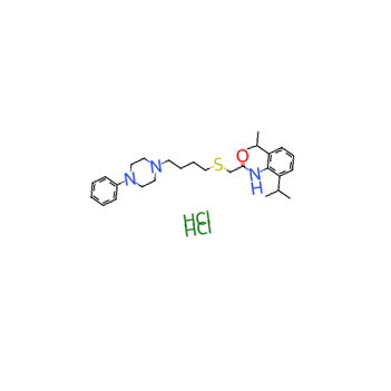 CC(C)c1cccc(C(C)C)c1NC(=O)CSCCCCN1CCN(c2ccccc2)CC1.Cl.Cl